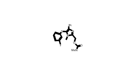 CNC(=O)OCc1nc(C(C)C)c(Sc2cccc(F)c2)n1C